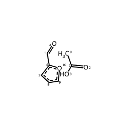 CC(=O)O.O=Cc1ccco1